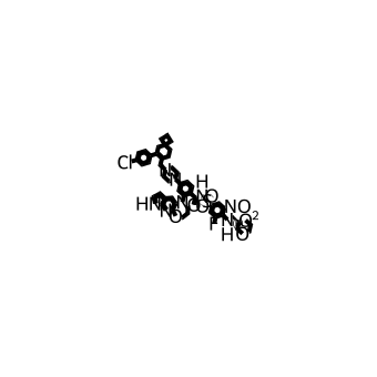 O=C(NS(=O)(=O)c1cc(F)c(NC[C@@H]2COCCO2)c([N+](=O)[O-])c1)c1ccc(N2CCN(CC3=C(c4ccc(Cl)cc4)CC4(CCC4)CC3)CC2)cc1N1CCCOc2nc3[nH]ccc3cc21